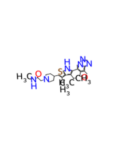 CNC(=O)CN1CCC(c2sc3[nH]c(-c4cn5ncnc5c5c4COC5)c(C(C)C)c3c2C)CC1